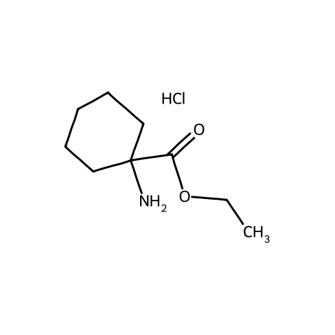 CCOC(=O)C1(N)CCCCC1.Cl